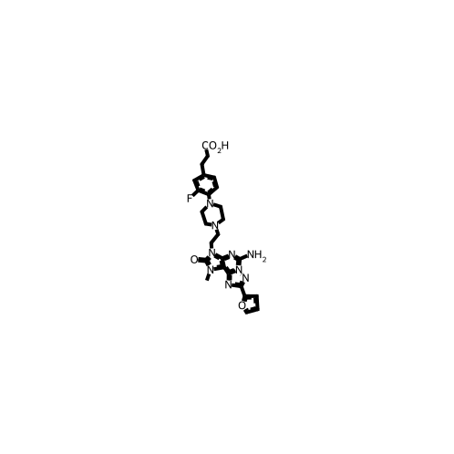 Cn1c(=O)n(CCN2CCN(c3ccc(CCC(=O)O)cc3F)CC2)c2nc(N)n3nc(-c4ccco4)nc3c21